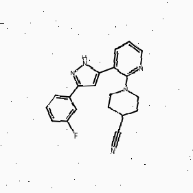 N#CC1CCN(c2ncccc2-c2cc(-c3cccc(F)c3)n[nH]2)CC1